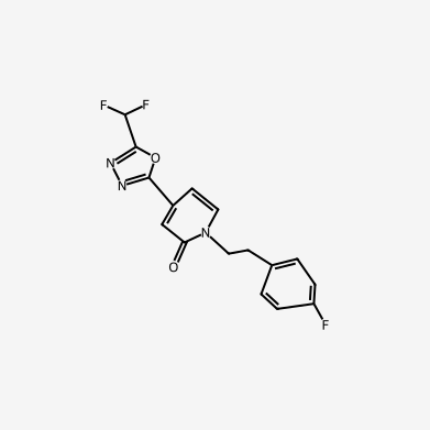 O=c1cc(-c2nnc(C(F)F)o2)ccn1CCc1ccc(F)cc1